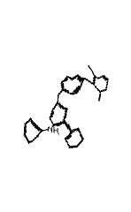 CC1C=CCC(C)C1c1cccc(C2C=CC(NC3=CC=CCC3)=C(C3=CC=CCC3)C2)c1